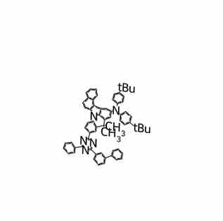 CC(C)(C)c1ccc(N(c2ccc(C(C)(C)C)cc2)c2cc3c4c(c2)c2c5ccccc5ccc2n4-c2ccc(-c4nc(-c5ccccc5)nc(-c5cccc(-c6ccccc6)c5)n4)cc2C3(C)C)cc1